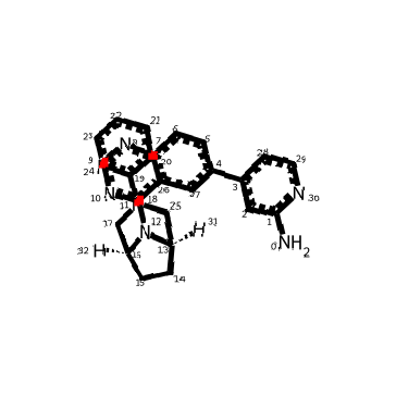 Nc1cc(-c2ccc3ncnc(N4[C@@H]5CC[C@H]4CN(c4ccccn4)C5)c3c2)ccn1